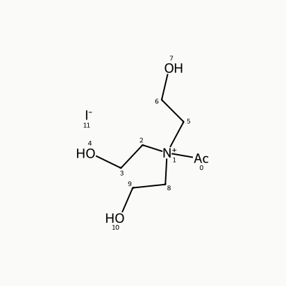 CC(=O)[N+](CCO)(CCO)CCO.[I-]